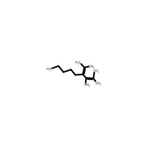 CC(C)=C(N)C(CCCCN)=C(C)C